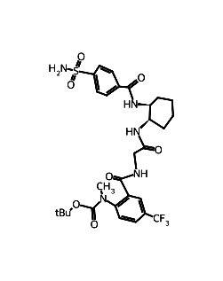 CN(C(=O)OC(C)(C)C)c1ccc(C(F)(F)F)cc1C(=O)NCC(=O)N[C@@H]1CCCC[C@@H]1NC(=O)c1ccc(S(N)(=O)=O)cc1